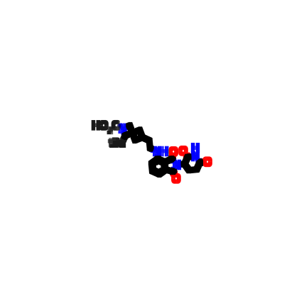 CC(C)(C)C1N(C(=O)O)CC12CC(CCNc1cccc3c1C(=O)N(C1CCC(=O)NC1=O)C3=O)C2